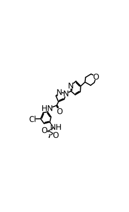 CS(=O)(=O)Nc1cc(Cl)cc(NC(=O)c2cnn(-c3ccc(C4CCOCC4)cn3)c2)c1